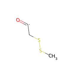 CSSC[C]=O